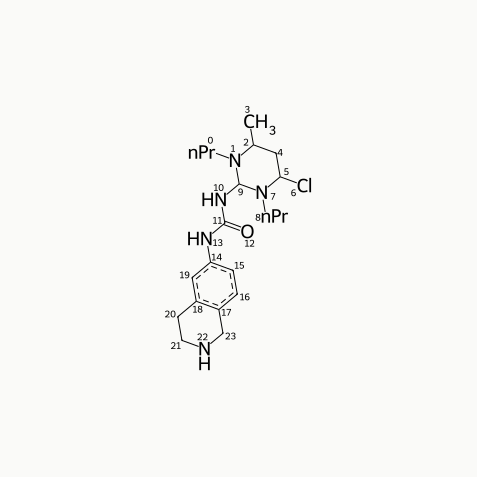 CCCN1C(C)CC(Cl)N(CCC)C1NC(=O)Nc1ccc2c(c1)CCNC2